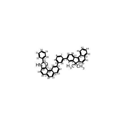 CC1(C)c2cc(-c3cccc(-c4ccc5ccc6ccc7c(c6c5c4)OC(c4ccccc4)N7)c3)ccc2-c2c1ccc1ccccc21